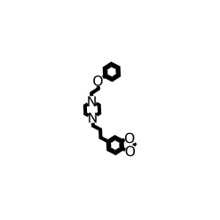 c1ccc(OCCN2CCN(CCCc3ccc4c(c3)OCO4)CC2)cc1